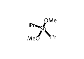 C[O][Sn]([O]C)([CH](C)C)[CH](C)C